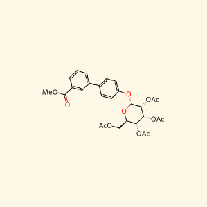 COC(=O)c1cccc(-c2ccc(O[C@H]3O[C@H](COC(C)=O)[C@@H](OC(C)=O)[C@@H](OC(C)=O)[C@H]3OC(C)=O)cc2)c1